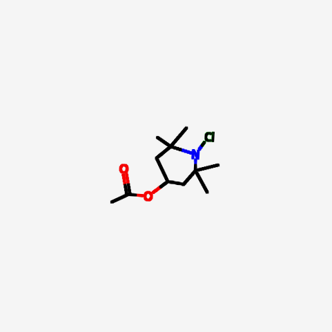 CC(=O)OC1CC(C)(C)N(Cl)C(C)(C)C1